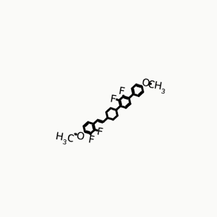 CCOc1ccc(/C=C/C2CCC(c3ccc(-c4ccc(OC)cc4)c(F)c3F)CC2)c(F)c1F